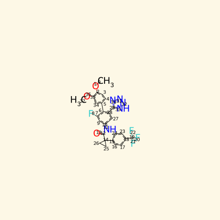 COc1ccc(-c2c(F)cc(NC(=O)C3(c4ccc(C(F)(F)F)cc4)CC3)cc2-c2nnn[nH]2)cc1OC